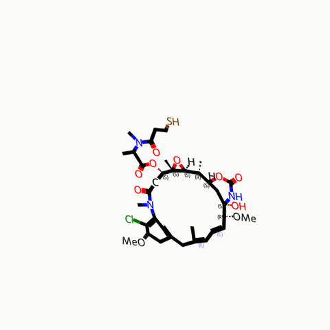 COC1CC2=CC(=C1Cl)N(C)C(=O)C[C@H](OC(=O)C(C)N(C)C(=O)CCS)[C@]1(C)O[C@H]1[C@H](C)[C@@H]1C[C@@](O)(NC(=O)O1)[C@H](OC)/C=C/C=C(\C)C2